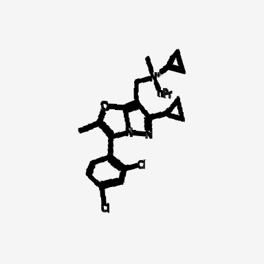 CCC[N+](C)(Cc1c(C2CC2)nn2c(-c3ccc(Cl)cc3Cl)c(C)oc12)C1CC1